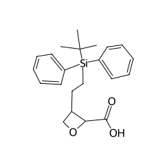 CC(C)(C)[Si](CCC1COC1C(=O)O)(c1ccccc1)c1ccccc1